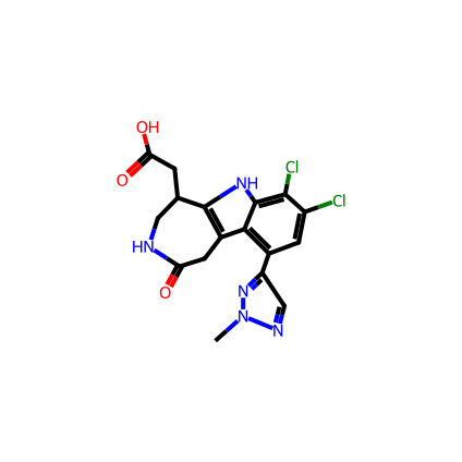 Cn1ncc(-c2cc(Cl)c(Cl)c3[nH]c4c(c23)CC(=O)NCC4CC(=O)O)n1